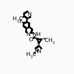 CC[C@H]1[C@H](C(=O)Nc2cc3cc(-c4cnccc4C)c(F)cc3cn2)[C@H]1c1cnn(C)c1